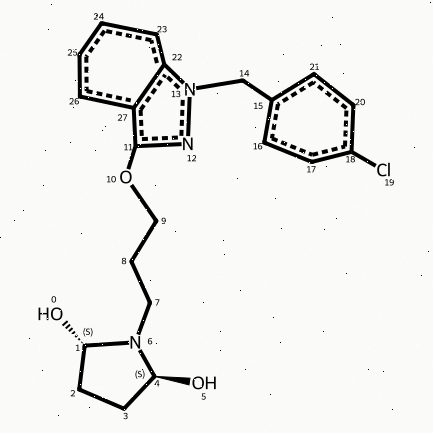 O[C@H]1CC[C@H](O)N1CCCOc1nn(Cc2ccc(Cl)cc2)c2ccccc12